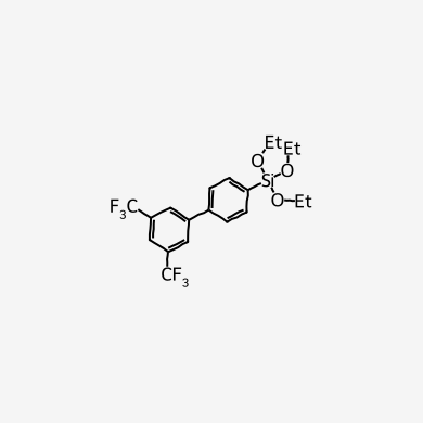 CCO[Si](OCC)(OCC)c1ccc(-c2cc(C(F)(F)F)cc(C(F)(F)F)c2)cc1